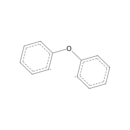 [c]1ccccc1Oc1[c]cccc1